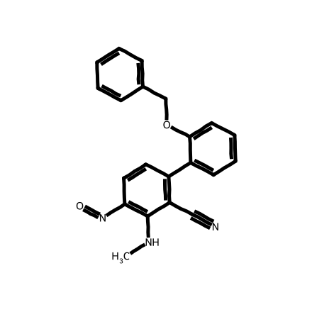 CNc1c(N=O)ccc(-c2ccccc2OCc2ccccc2)c1C#N